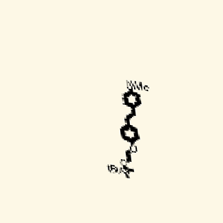 CNc1ccc(/C=C/c2ccc(OCCO[Si](C)(C)C(C)(C)C)cc2)cc1